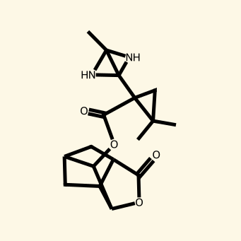 CC1(C)CC1(C(=O)OC1C2CC3C(=O)OC1C3C2)C12NC1(C)N2